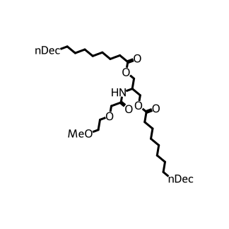 CCCCCCCCCCCCCCCCCC(=O)OCC(COC(=O)CCCCCCCCCCCCCCCCC)NC(=O)COCCOC